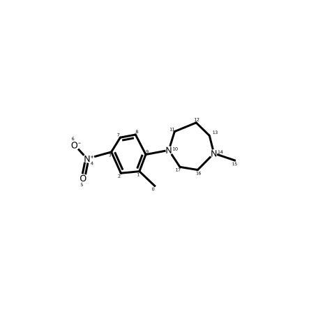 Cc1cc([N+](=O)[O-])ccc1N1CCCN(C)CC1